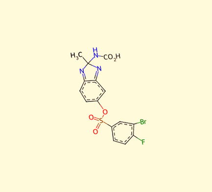 CC1(NC(=O)O)N=c2ccc(OS(=O)(=O)c3ccc(F)c(Br)c3)cc2=N1